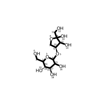 OCC1OC(O[C@H]2COC(O)(CO)C2O)C(O)[C@@H](O)[C@@H]1O